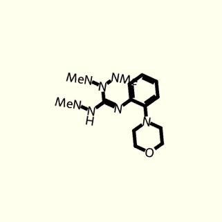 CNNC(=Nc1ccccc1N1CCOCC1)N(NC)NC